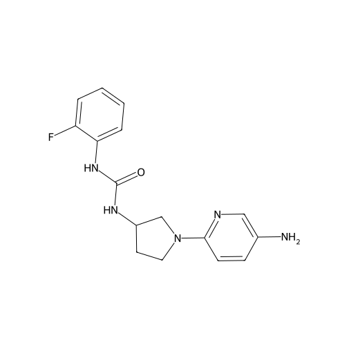 Nc1ccc(N2CCC(NC(=O)Nc3ccccc3F)C2)nc1